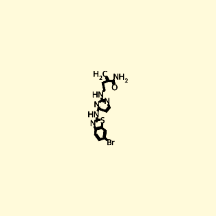 C=C(CCNc1nccc(Nc2nc3ccc(Br)cc3s2)n1)C(N)=O